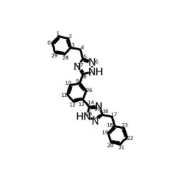 c1ccc(Cc2n[nH]c(-c3cccc(-c4nc(Cc5ccccc5)n[nH]4)c3)n2)cc1